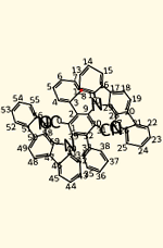 N#Cc1c(-c2ccccc2)c(-n2c3ccccc3c3ccc4c5ccccc5oc4c32)c(C#N)c(-c2ccccc2)c1-n1c2ccccc2c2ccc3c4ccccc4oc3c21